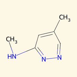 CNc1cc(C)cnn1